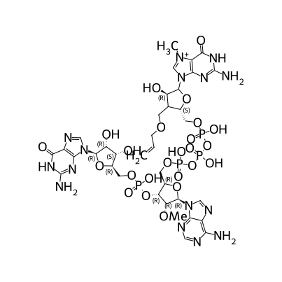 C=CCOCC1[C@@H](O)C(n2c[n+](C)c3c(=O)[nH]c(N)nc32)O[C@@H]1COP(=O)(O)OP(=O)(O)OP(=O)(O)OC[C@H]1O[C@@H](n2cnc3c(N)ncnc32)[C@H](OC)[C@@H]1OP(=O)(O)OC[C@H]1O[C@@H](n2cnc3c(=O)[nH]c(N)nc32)[C@H](O)[C@@H]1O